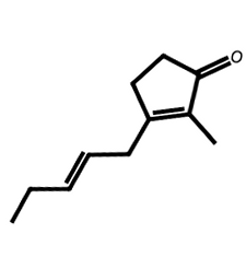 CCC=CCC1=C(C)C(=O)CC1